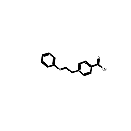 O=C(O)c1ccc(CCSc2ccccc2)cc1